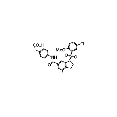 COc1ccc(Cl)cc1S(=O)(=O)N1CCc2c(C)cc(C(=O)Nc3ccc(CC(=O)O)cc3)cc21